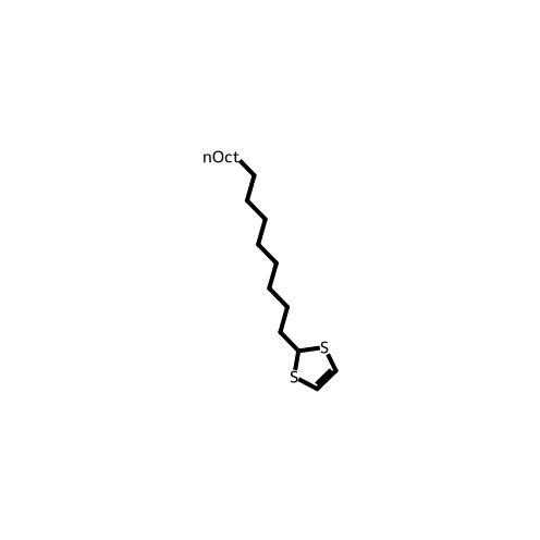 CCCCCCCCCCCCCCCCC1SC=CS1